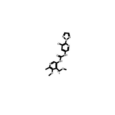 COc1c(C)ncc(NC(=O)Nc2cnc(-n3nccn3)c(Cl)c2)c1[C@@H](C)OC